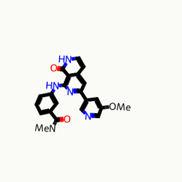 CNC(=O)c1cccc(Nc2nc(-c3cncc(OC)c3)cc3cc[nH]c(=O)c23)c1